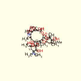 CC[C@H]1OC(=O)[C@H](C)[C@@H](O[C@H]2C[C@@](C)(OC)[C@@H](O)[C@H](C)O2)[C@H](C)[C@@H](O[C@@H]2O[C@H](C)C[C@H](N(C)C)[C@H]2O)C(C)(O)C[C@@H](C)/C(=N/O)[C@H](C)[C@@H](O)[C@]1(C)O